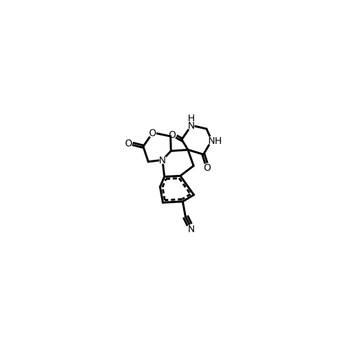 N#Cc1ccc2c(c1)CC1(C(=O)NCNC1=O)C1COC(=O)CN21